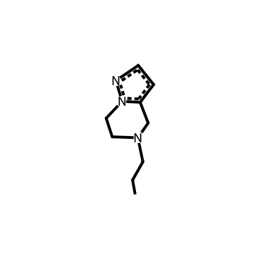 CCCN1CCn2nccc2C1